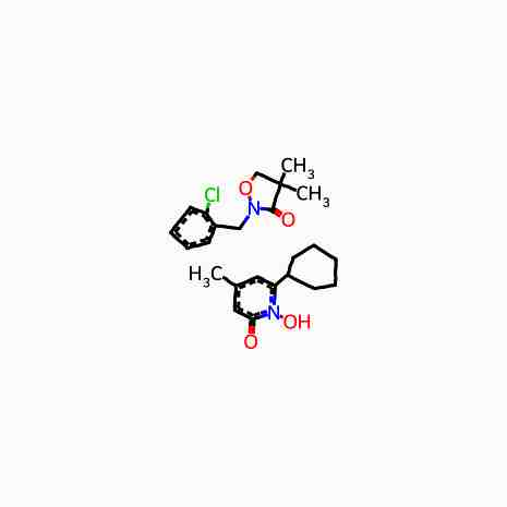 CC1(C)CON(Cc2ccccc2Cl)C1=O.Cc1cc(C2CCCCC2)n(O)c(=O)c1